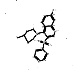 CC1CCN(c2c(S(=O)(=O)c3ccccc3)cnc3cc(F)ccc23)CC1